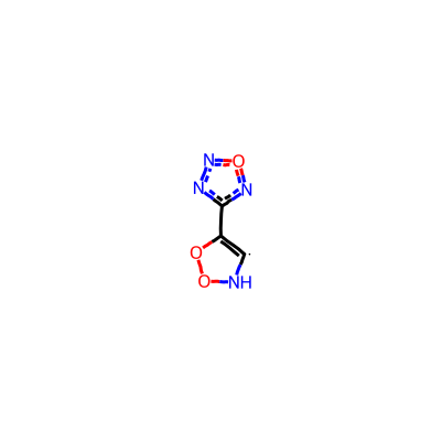 [C]1=C(c2nnon2)OON1